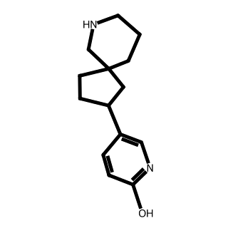 Oc1ccc(C2CCC3(CCCNC3)C2)cn1